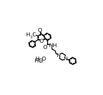 Cc1c(-c2ccccc2)oc2c(C(=O)NCCCN3CCN(c4ccccc4)CC3)cccc2c1=O.Cl.O